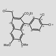 CCOC(=O)c1c(CCl)nc2cc(OC)c(OC)cc2c1-c1ccc(Cl)c(Cl)c1